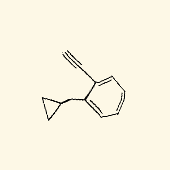 [C]#Cc1ccccc1C1CC1